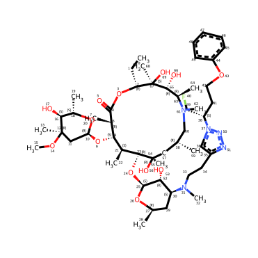 CC[C@H]1OC(=O)[C@H](C)[C@@H](O[C@H]2C[C@@](C)(OC)[C@@H](O)[C@H](C)O2)[C@H](C)[C@@H](O[C@@H]2O[C@H](C)C[C@H](N(C)CCc3cn([C@H](CF)CCOc4ccccc4)nn3)[C@H]2O)[C@](C)(O)C[C@@H](C)CN(C)[C@H](C)[C@@H](O)[C@]1(C)O